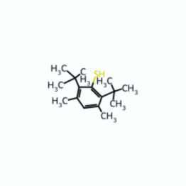 Cc1cc(C)c(C(C)(C)C)c(S)c1C(C)(C)C